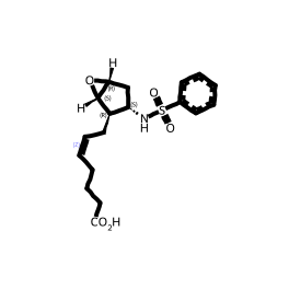 O=C(O)CCC/C=C\C[C@H]1[C@@H]2O[C@@H]2C[C@@H]1NS(=O)(=O)c1ccccc1